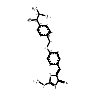 CSC1=NC(=O)C(=Cc2ccc(OCc3ccc(C(O)C(C)C)cc3)cc2)S1